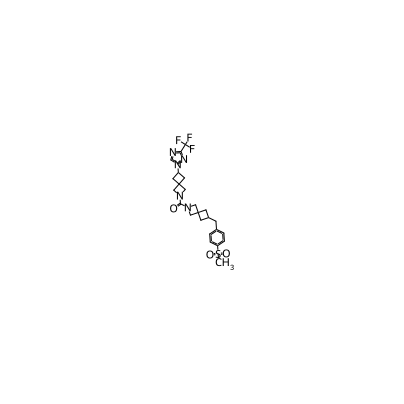 CS(=O)(=O)c1ccc(CC2CC3(C2)CN(C(=O)N2CC4(CC(n5cnc(C(F)(F)F)n5)C4)C2)C3)cc1